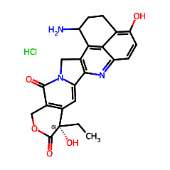 CC[C@@]1(O)C(=O)OCc2c1cc1n(c2=O)Cc2c-1nc1ccc(O)c3c1c2C(N)CC3.Cl